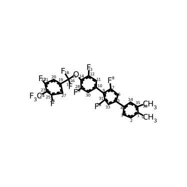 Cc1ccc(-c2cc(F)c(-c3cc(F)c(OC(F)(F)c4cc(F)c(C(F)(F)F)c(F)c4)c(F)c3)c(F)c2)cc1C